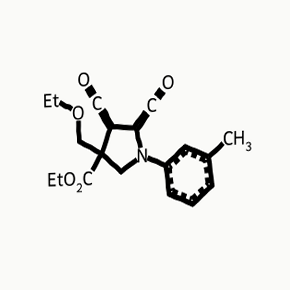 CCOCC1(C(=O)OCC)CN(c2cccc(C)c2)C(=C=O)C1=C=O